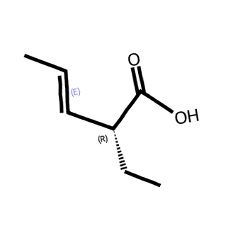 C/C=C/[C@@H](CC)C(=O)O